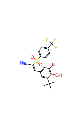 CC(C)(C)c1cc(/C=C(/C#N)S(=O)(=O)c2ccc(C(F)(F)F)cc2)cc(Br)c1O